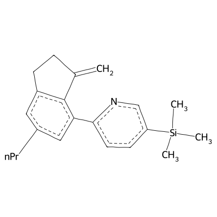 C=C1CCc2cc(CCC)cc(-c3ccc([Si](C)(C)C)cn3)c21